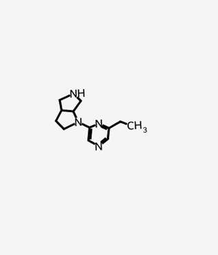 CCc1cncc(N2CCC3CNCC32)n1